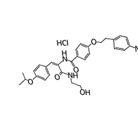 CC(C)Oc1ccc(/C=C(/NC(=O)c2ccc(OCCc3ccc(N(C)C)cc3)cc2)C(=O)NCCO)cc1.Cl